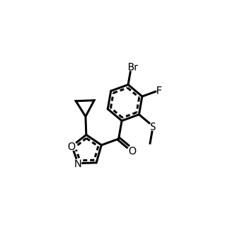 CSc1c(C(=O)c2cnoc2C2CC2)ccc(Br)c1F